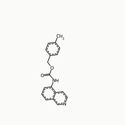 Cc1ccc(COC(=O)Nc2cccc3cnccc23)cc1